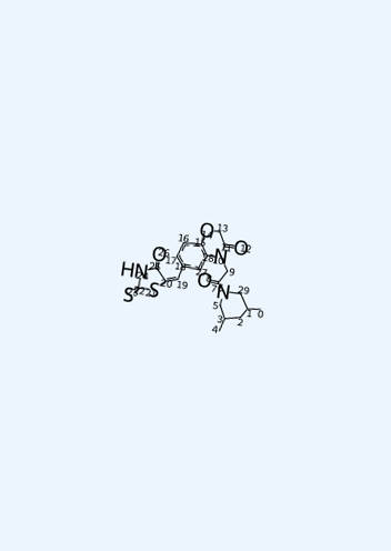 CC1CC(C)CN(C(=O)CN2C(=O)COc3ccc(C=C4SC(=S)NC4=O)cc32)C1